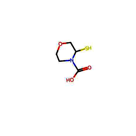 O=C(O)N1CCOCC1S